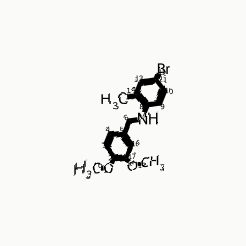 COc1ccc(CNc2ccc(Br)cc2C)cc1OC